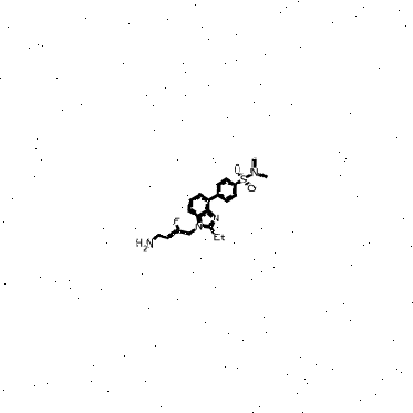 CCc1nc2c(-c3ccc(S(=O)(=O)N(C)C)cc3)cccc2n1C/C(F)=C/CN